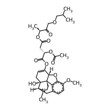 COc1ccc2c3c1O[C@H]1C(OC(=O)[C@H](CC(=O)O[C@@H](C)C(=O)COCC(C)C)OC(C)=O)=CC[C@@]4(O)[C@@H](C2)N(C)CC[C@]314